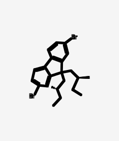 CC[C@H](C)CC1(C[C@@H](C)CC)c2cc(Br)ccc2-c2ccc(Br)cc21